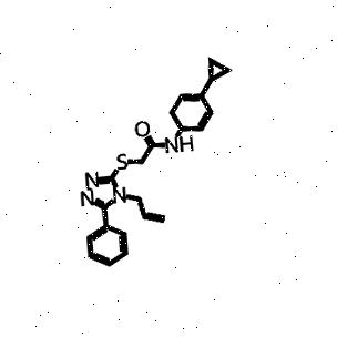 C=CCn1c(SCC(=O)NC2C=CC(C3CC3)=CC2)nnc1-c1ccccc1